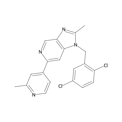 Cc1cc(-c2cc3c(cn2)nc(C)n3Cc2cc(Cl)ccc2Cl)ccn1